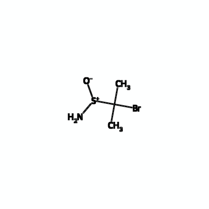 CC(C)(Br)[S+](N)[O-]